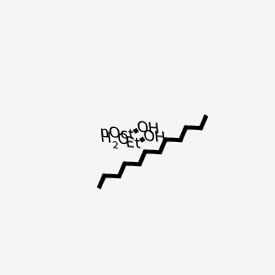 CCCCCCCCCCCC.CCCCCCCCO.CCO.O